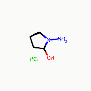 Cl.NN1CCCC1O